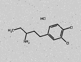 CCC(N)CCc1ccc(Cl)c(Cl)c1.Cl